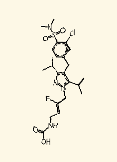 CC(C)c1nn(CC(F)=CCNC(=O)O)c(C(C)C)c1Cc1ccc(S(=O)(=O)N(C)C)c(Cl)c1